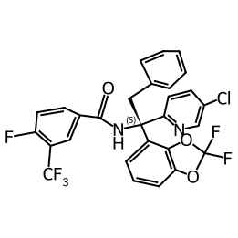 O=C(N[C@](Cc1ccccc1)(c1ccc(Cl)cn1)c1cccc2c1OC(F)(F)O2)c1ccc(F)c(C(F)(F)F)c1